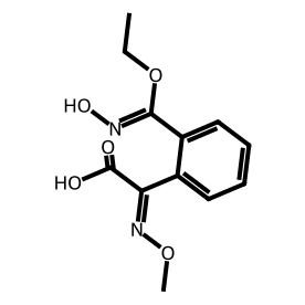 CCO/C(=N\O)c1ccccc1/C(=N\OC)C(=O)O